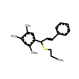 COc1cc(OC(C)=O)c(OC(C)=O)cc1C(/C=C/c1ccccc1)SCCOC(C)=O